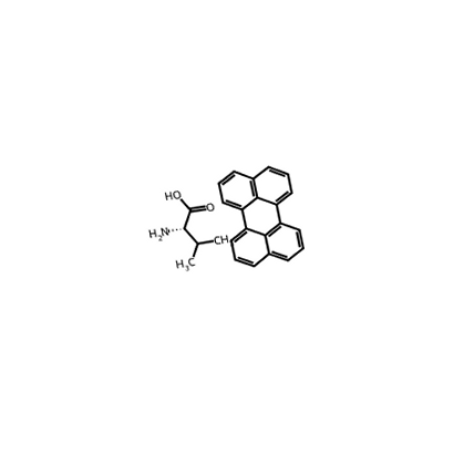 CC(C)[C@H](N)C(=O)O.c1cc2cccc3c4cccc5cccc(c(c1)c23)c54